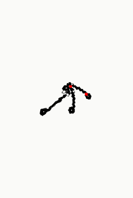 CC(C)(Cc1ccc(O)c(CC(C)(C)OCCCCCCCCc2ccccc2)c1CC(C)(C)OCCCCCCCCc1ccccc1)OCCCCCCCCc1ccccc1